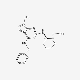 Bc1cnn2c(NCc3cccnc3)cc(N[C@@H]3CCCC[C@H]3CO)nc12